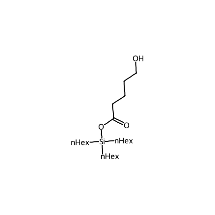 CCCCCC[Si](CCCCCC)(CCCCCC)OC(=O)CCCCO